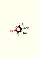 CC(=O)O[C@@H]1[C@H](OC(C)=O)[C@@H](Cl)C(O)O[C@@H]1C